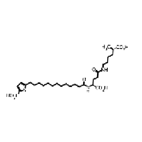 C[C@@H](CCCCNC(=O)CC[C@H](NC(=O)CCCCCCCCCCCCc1ccc(C(=O)O)s1)C(=O)O)C(=O)O